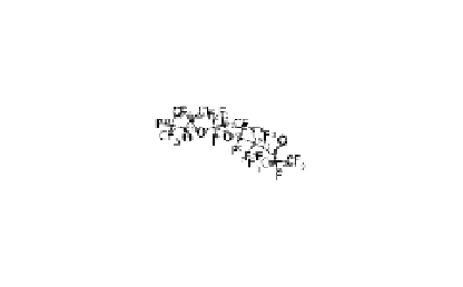 O=C(C(F)(F)C(F)(F)C(F)(F)OC(F)(C(F)(F)F)C(F)(F)OC(F)(C(=O)C(F)(C(F)(F)F)C(F)(F)F)C(F)(F)F)C(F)(C(F)(F)F)C(F)(F)F